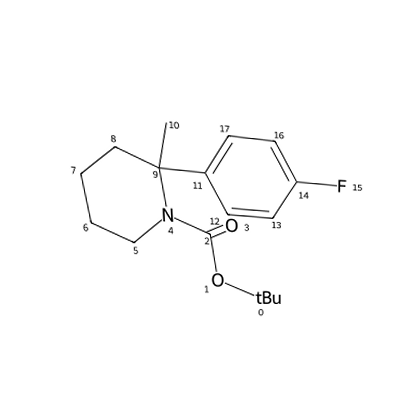 CC(C)(C)OC(=O)N1CCCCC1(C)c1ccc(F)cc1